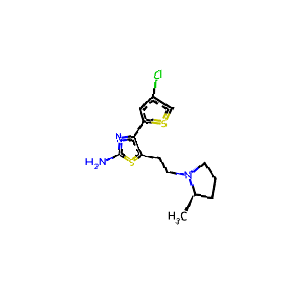 C[C@@H]1CCCN1CCc1sc(N)nc1-c1cc(Cl)cs1